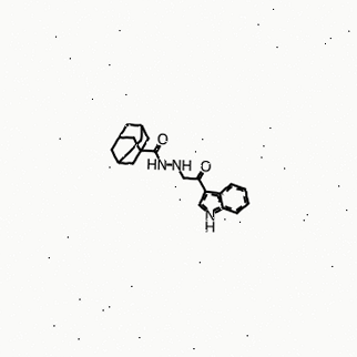 O=C(CNNC(=O)C12CC3CC(CC(C3)C1)C2)c1c[nH]c2ccccc12